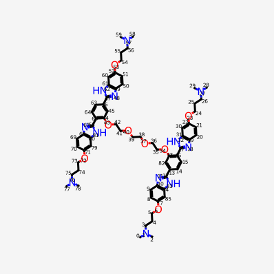 CN(C)CCCOc1ccc2nc(-c3ccc(-c4nc5ccc(OCCCN(C)C)cc5[nH]4)c(OCCOCCOCCOc4cc(-c5nc6ccc(OCCCN(C)C)cc6[nH]5)ccc4-c4nc5ccc(OCCCN(C)C)cc5[nH]4)c3)[nH]c2c1